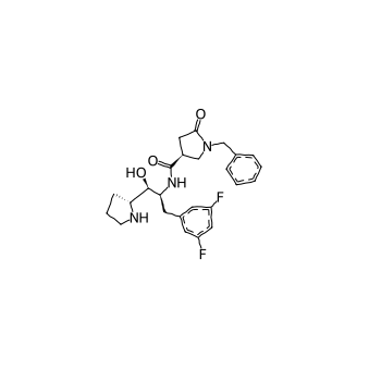 O=C(N[C@@H](Cc1cc(F)cc(F)c1)[C@H](O)[C@H]1CCCN1)[C@H]1CC(=O)N(Cc2ccccc2)C1